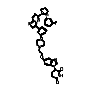 O=C1CCC(n2cnc3cc(OCCN4CCN(c5cccc(-c6cnc7ccc(N8CCC[C@@H]8c8cccc(F)c8)nn67)n5)CC4)ccc32)C(=O)N1